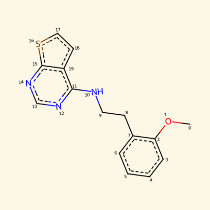 COc1ccccc1CCNc1ncnc2sccc12